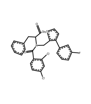 O=C(O)C(Cc1ccccc1)N(Cc1sccc1-c1cccc(F)c1)C(=O)c1ccc(Cl)cc1Cl